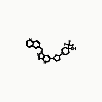 OC1(C(F)(F)F)CCN([C@H]2CCN(c3cnc4nnn(Cc5ccc6ncccc6c5)c4c3)C2)CC1